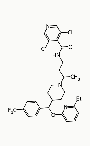 CCc1cccc(OC(c2ccc(C(F)(F)F)cc2)C2CCN(C(C)CCNC(=O)c3c(Cl)cncc3Cl)CC2)n1